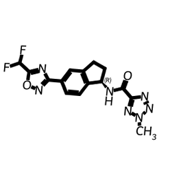 Cn1nnc(C(=O)N[C@@H]2CCc3cc(-c4noc(C(F)F)n4)ccc32)n1